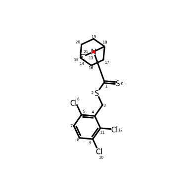 S=C(SCc1c(Cl)ccc(Cl)c1Cl)N1CC2CCC(CC2)C1